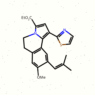 CCOC(=O)c1cc(-c2nccs2)c2n1CCc1cc(OC)c(C=C(C)C)cc1-2